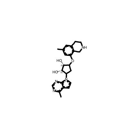 Cc1cc2c(c(OC3CC(n4ccc5c(C)ncnc54)[C@H](O)[C@@H]3O)c1)CNCC2